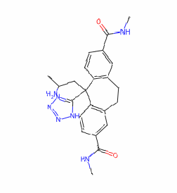 CNC(=O)c1ccc2c(c1)CCc1cc(C(=O)NC)ccc1C2(CC(C)N)c1nnn[nH]1